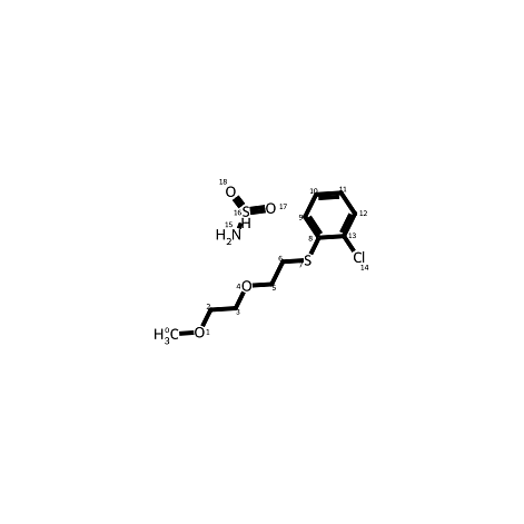 COCCOCCSc1ccccc1Cl.N[SH](=O)=O